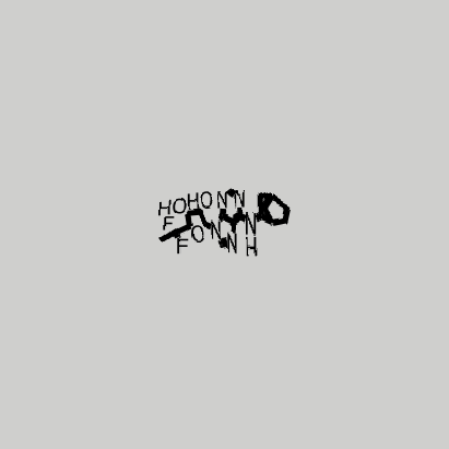 CC(F)(F)C1OC(n2cnc3c(NC4CC5CCC4C5)ncnc32)C(O)C1O